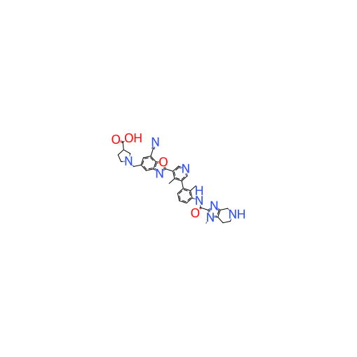 Cc1c(NC(=O)c2nc3c(n2C)CCNC3)cccc1-c1cncc(-c2nc3cc(CN4CCC(C(=O)O)C4)cc(C#N)c3o2)c1C